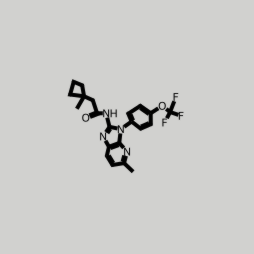 Cc1ccc2nc(NC(=O)CC3(C)CCC3)n(-c3ccc(OC(F)(F)F)cc3)c2n1